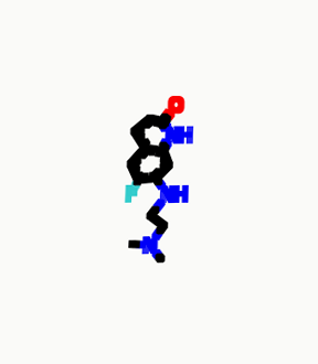 CN(C)CCNc1cc2[nH]c(=O)ccc2cc1F